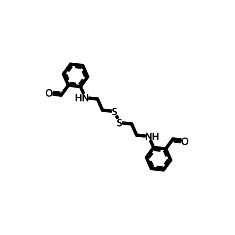 O=Cc1ccccc1NCCSSCCNc1ccccc1C=O